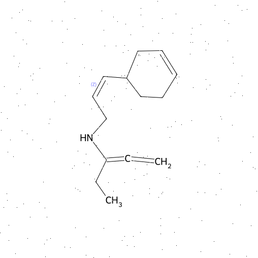 C=C=C(CC)NC/C=C\C1CC=CCC1